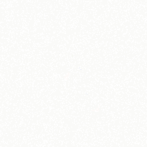 CN(CCN1CCOCC1)C(=O)C(F)(F)C(F)(F)C(F)(F)F